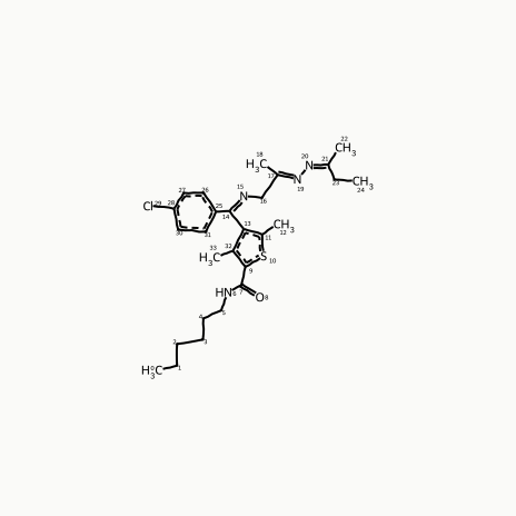 CCCCCCNC(=O)c1sc(C)c(/C(=N\C/C(C)=N/N=C(/C)CC)c2ccc(Cl)cc2)c1C